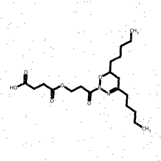 CCCCCC1=NN(C(=O)CCOC(=O)CCC(=O)O)OC(CCCCC)C1